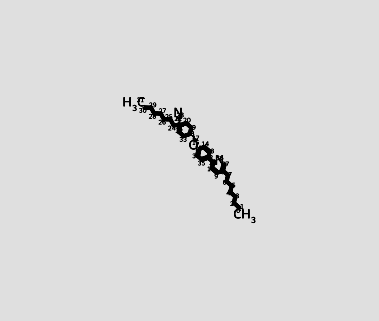 CCCCCCCCc1ccc(-c2ccc(OC[C@H]3CC[C@@](C#N)(CCCCCCCC)CC3)cc2)nc1